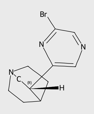 Brc1cncc([C@H]2CN3CCC2CC3)n1